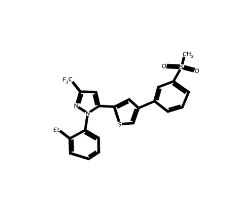 CCc1ccccc1-n1nc(C(F)(F)F)cc1-c1cc(-c2cccc(S(C)(=O)=O)c2)cs1